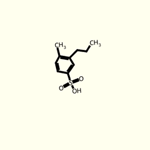 CCCc1cc(S(=O)(=O)O)ccc1C